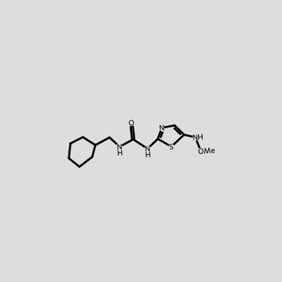 CONc1cnc(NC(=O)NCC2CCCCC2)s1